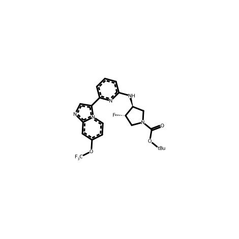 CC(C)(C)OC(=O)N1C[C@H](Nc2cccc(-c3cnc4cc(OC(F)(F)F)ccn34)n2)[C@@H](F)C1